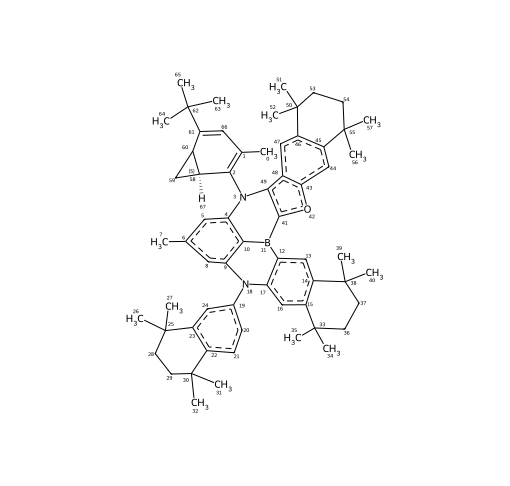 CC1=C(N2c3cc(C)cc4c3B(c3cc5c(cc3N4c3ccc4c(c3)C(C)(C)CCC4(C)C)C(C)(C)CCC5(C)C)c3oc4cc5c(cc4c32)C(C)(C)CCC5(C)C)[C@H]2CC2C(C(C)(C)C)=C1